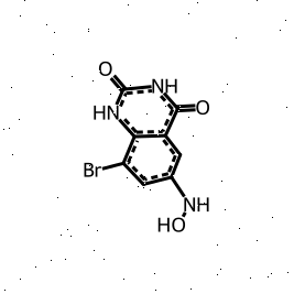 O=c1[nH]c(=O)c2cc(NO)cc(Br)c2[nH]1